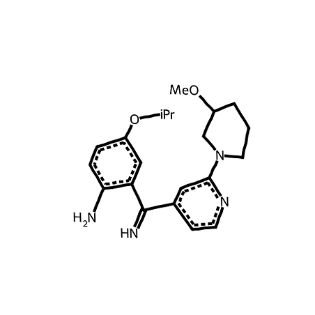 COC1CCCN(c2cc(C(=N)c3cc(OC(C)C)ccc3N)ccn2)C1